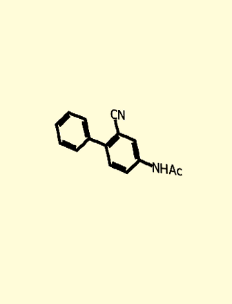 CC(=O)Nc1ccc(-c2ccccc2)c(C#N)c1